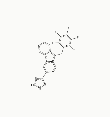 Fc1c(F)c(F)c(Cn2c3ccccc3c3cc(-c4nn[nH]n4)ccc32)c(F)c1F